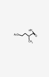 CCCC(=O)N(C)CCOC(C)=O